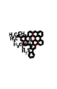 CC(C)(C)c1cc(-c2ccccc2N(c2ccccc2-c2cccc3c2sc2ccccc23)c2ccccc2-c2cccc3cccc(-c4ccccc4)c23)cc(C(C)(C)C)c1